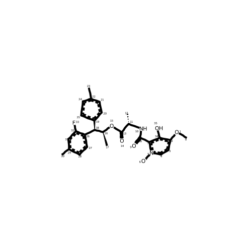 COc1cc[n+]([O-])c(C(=O)N[C@@H](C)C(=O)O[C@@H](C)[C@H](c2ccc(C)cc2)c2ccc(C)cc2F)c1O